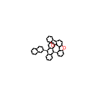 c1ccc2cc(-c3c4ccccc4c(-c4cccc5oc6ccc7c8ccccc8oc7c6c45)c4ccccc34)ccc2c1